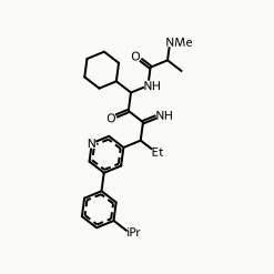 CCC(C(=N)C(=O)C(NC(=O)C(C)NC)C1CCCCC1)c1cncc(-c2cccc(C(C)C)c2)c1